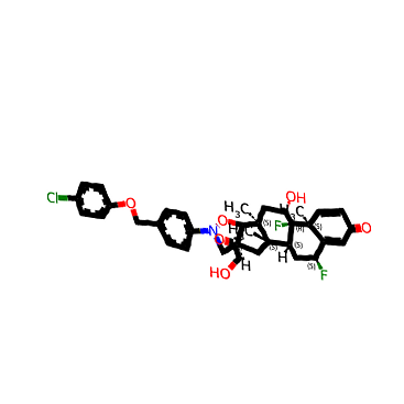 C[C@]12C[C@H](O)[C@@]3(F)[C@@H](C[C@H](F)C4=CC(=O)C=C[C@@]43C)[C@]1(C)C[C@H]1CN(c3ccc(COc4ccc(Cl)cc4)cc3)O[C@]12C(=O)CO